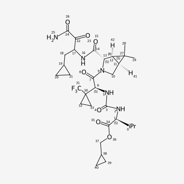 CC(C)[C@H](NC(=O)N[C@H](C(=O)N1C[C@H]2[C@@H]([C@H]1C(=O)NC(CC1CC1)C(=O)C(N)=O)C2(C)C)C1(C(F)(F)F)CC1)C(=O)OCC1CC1